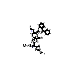 CC/C=C/C1=C(C(=O)OC(c2ccccc2)c2ccccc2)N2C(=O)C(NC(=O)/C(=N\OC)c3csc(N)n3)[C@H]2SC1